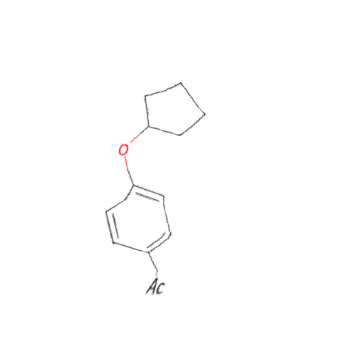 [CH2]C(=O)c1ccc(OC2CCCC2)cc1